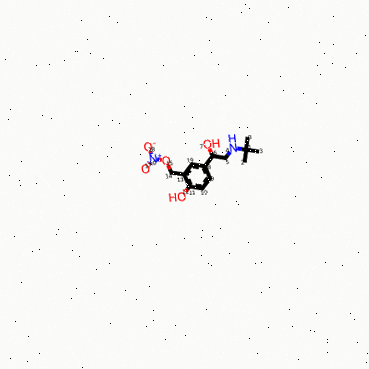 CC(C)(C)NCC(O)c1ccc(O)c(CO[N+](=O)[O-])c1